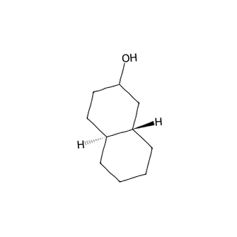 OC1CC[C@@H]2CCCC[C@H]2C1